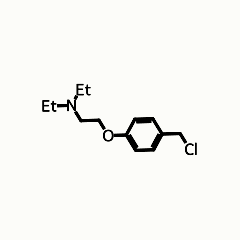 CCN(CC)CCOc1ccc(CCl)cc1